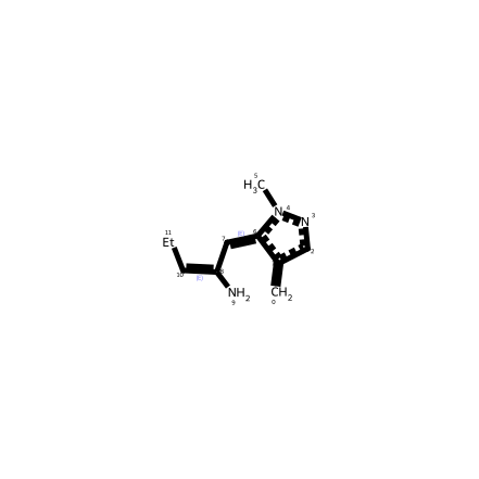 C=c1cnn(C)/c1=C/C(N)=C\CC